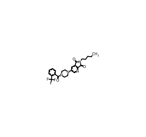 CCCCCN1C(=O)c2cc(N3CCN(C(=O)c4ccccc4C(F)(F)F)CC3)cnc2C1=O